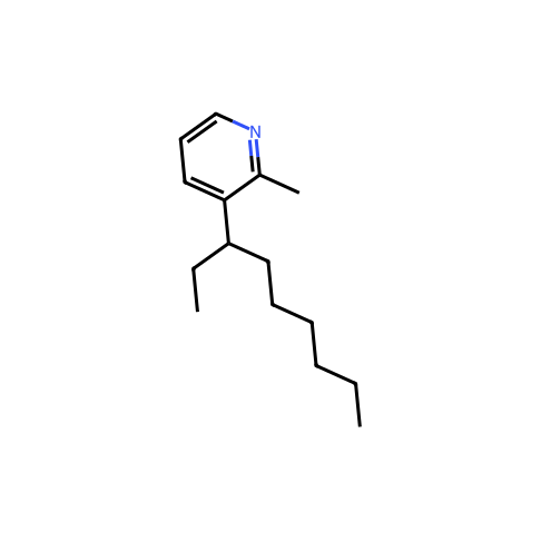 CCCCCCC(CC)c1cccnc1C